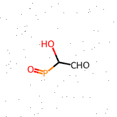 O=CC(O)P=O